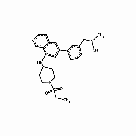 CCS(=O)(=O)N1CCC(Nc2cc(-c3cccc(CN(C)C)c3)cc3ccncc23)CC1